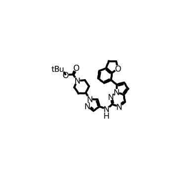 CC(C)(C)OC(=O)N1CCC(n2cc(Nc3ncc4ccc(-c5cccc6c5OCC6)n4n3)cn2)CC1